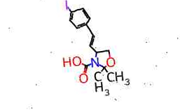 CC1(C)OCC(C=Cc2ccc(I)cc2)N1C(=O)O